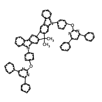 CC1(C)c2cc3c(cc2-c2cc4c5ccccc5n(-c5ccc(Oc6nc(-c7ccccc7)cc(-c7ccccc7)n6)cc5)c4cc21)c1ccccc1n3-c1ccc(Oc2nc(-c3ccccc3)cc(-c3ccccc3)n2)cc1